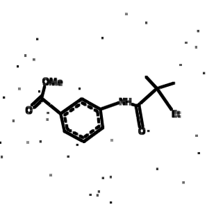 CCC(C)(C)C(=O)Nc1cccc(C(=O)OC)c1